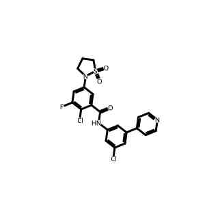 O=C(Nc1cc(Cl)cc(-c2ccncc2)c1)c1cc(N2CCCS2(=O)=O)cc(F)c1Cl